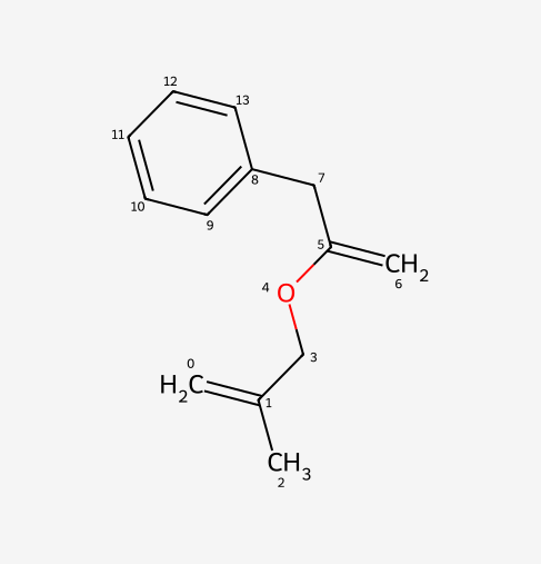 C=C(C)COC(=C)Cc1ccccc1